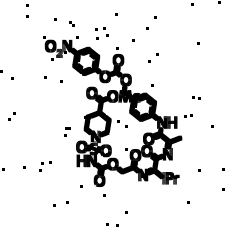 COC(=O)C1CCN(S(=O)(=O)NC(=O)OCC(=O)N=C(C(=O)N=C(C)C(=O)Nc2ccc(COC(=O)Oc3ccc([N+](=O)[O-])cc3)cc2)C(C)C)CC1